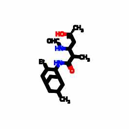 CCC1CC2CC(C)CC(C2)C1NC(=O)C(C)C(C[C@@H](C)O)NC=O